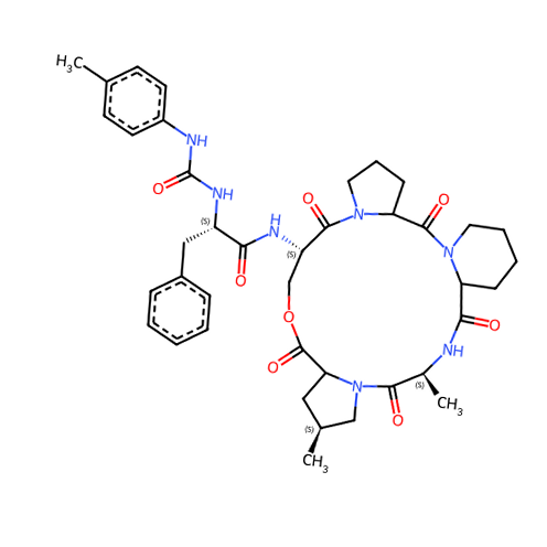 Cc1ccc(NC(=O)N[C@@H](Cc2ccccc2)C(=O)N[C@H]2COC(=O)C3C[C@H](C)CN3C(=O)[C@H](C)NC(=O)C3CCCCN3C(=O)C3CCCN3C2=O)cc1